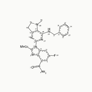 COc1nc2c(C(N)=O)cc(F)cc2n1-c1nc2c(c(NCc3ccccc3)n1)N(C)CC2